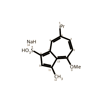 COc1ccc(C(C)C)cc2c(S(=O)(=O)O)cc(C)c1-2.[NaH]